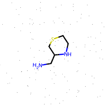 NCC1CSCCN1